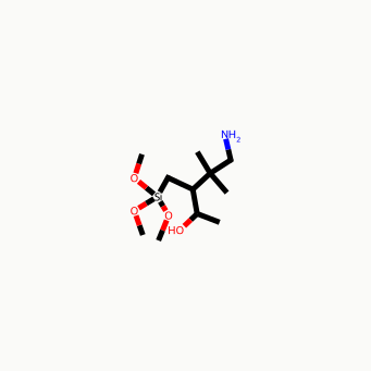 CO[Si](CC(C(C)O)C(C)(C)CN)(OC)OC